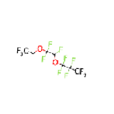 FC(OC(F)(F)C(F)(F)C(F)(F)F)C(F)(F)OCC(F)(F)F